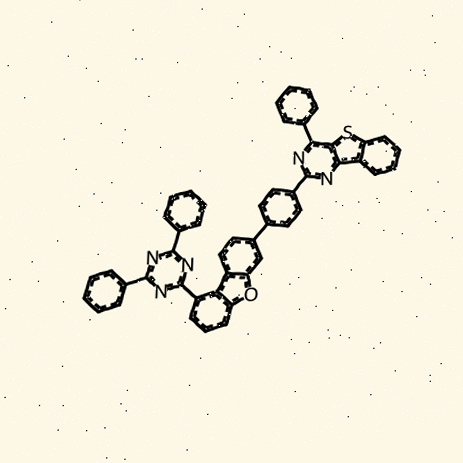 c1ccc(-c2nc(-c3ccccc3)nc(-c3cccc4oc5cc(-c6ccc(-c7nc(-c8ccccc8)c8sc9ccccc9c8n7)cc6)ccc5c34)n2)cc1